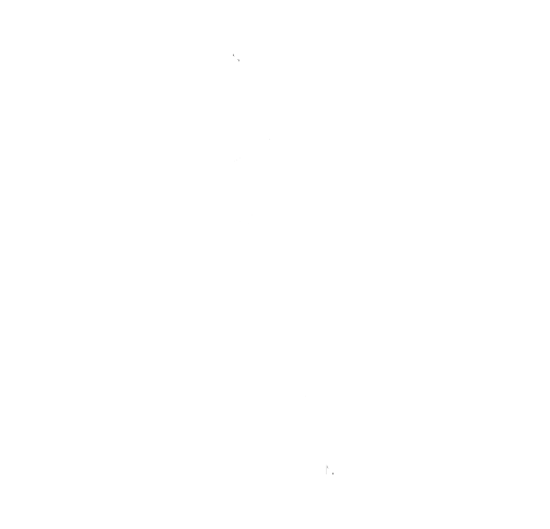 N#CCCc1ccc(-c2ccc(C#N)cc2)cc1